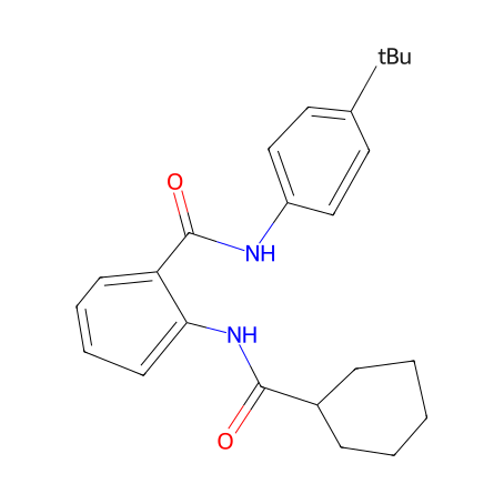 CC(C)(C)c1ccc(NC(=O)c2ccccc2NC(=O)C2CCCCC2)cc1